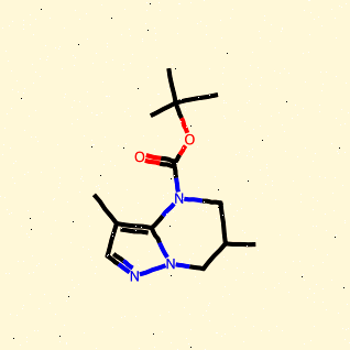 Cc1cnn2c1N(C(=O)OC(C)(C)C)CC(C)C2